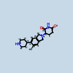 O=C1CCC(N2Cc3cc(F)c(C4CCNCC4)cc3C2)C(=O)N1